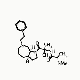 CN[C@@H](C)C(=O)NC(C)(C)C(=O)N1CC[C@H]2CCCN(CCc3ccccc3)C[C@H]21